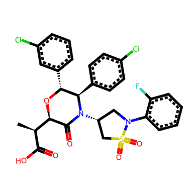 C[C@H](C(=O)O)[C@H]1O[C@H](c2cccc(Cl)c2)[C@@H](c2ccc(Cl)cc2)N([C@@H]2CN(c3ccccc3F)S(=O)(=O)C2)C1=O